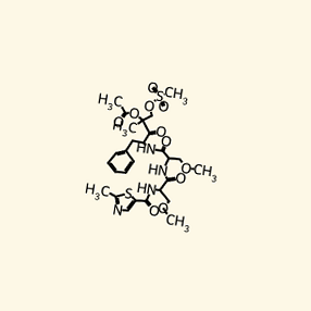 COCC(NC(=O)c1cnc(C)s1)C(=O)NC(COC)C(=O)NC(Cc1ccccc1)C(=O)C(C)(COS(C)(=O)=O)OC(C)=O